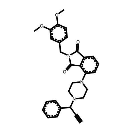 C#CC(c1ccccc1)N1CCN(c2cccc3c2C(=O)N(Cc2ccc(OC)c(OC)c2)C3=O)CC1